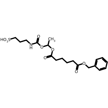 CC(OC(=O)CCCCC(=O)OCc1ccccc1)OC(=O)NCCCS(=O)(=O)O